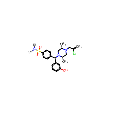 C=C(Cl)CN1C[C@@H](C)N(C(c2ccc(S(=O)(=O)N(CC)CC)cc2)c2cccc(O)c2)C[C@@H]1C